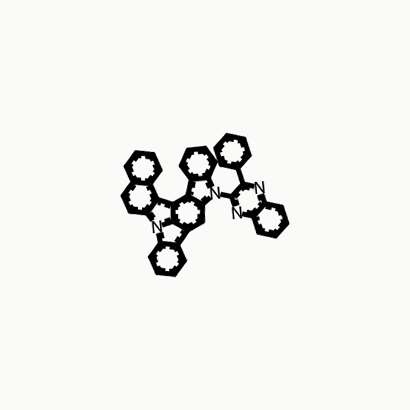 c1ccc(-c2nc3ccccc3nc2-n2c3ccccc3c3c4c5c6ccccc6ccc5n5c6ccccc6c(cc32)c45)cc1